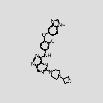 Cn1cnc2cc(Oc3ccc(Nc4ncnc5cnc(N6CCN(C7COC7)CC6)nc45)cc3Cl)ccc21